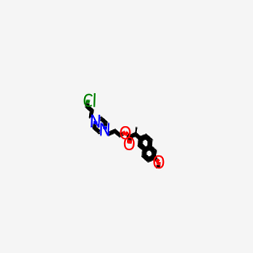 COc1ccc2cc([C@H](C)C(=O)OCCCN3CCN(CCCCl)CC3)ccc2c1